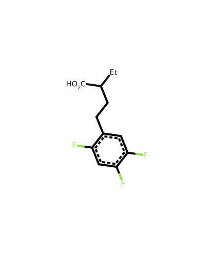 CCC(CCc1cc(F)c(F)cc1F)C(=O)O